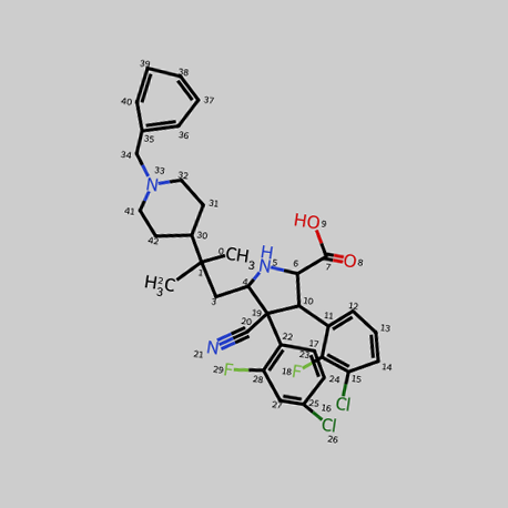 CC(C)(CC1NC(C(=O)O)C(c2cccc(Cl)c2F)C1(C#N)c1ccc(Cl)cc1F)C1CCN(Cc2ccccc2)CC1